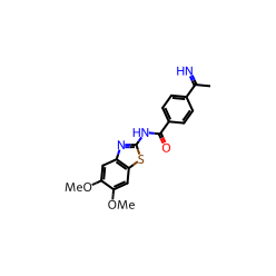 COc1cc2nc(NC(=O)c3ccc(C(C)=N)cc3)sc2cc1OC